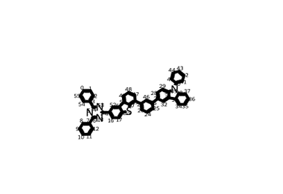 c1ccc(-c2nc(-c3ccccc3)nc(-c3ccc4sc5c(-c6cccc(-c7ccc8c(c7)c7ccccc7n8-c7ccccc7)c6)cccc5c4c3)n2)cc1